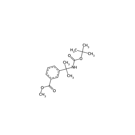 COC(=O)c1cccc(C(C)(C)NC(=O)OC(C)(C)C)c1